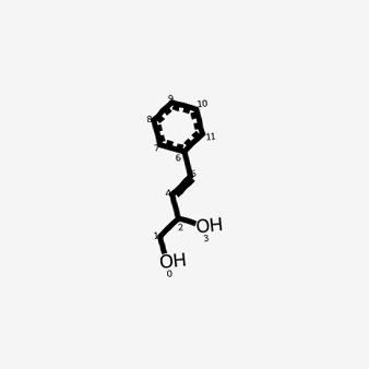 OCC(O)/C=C/c1ccccc1